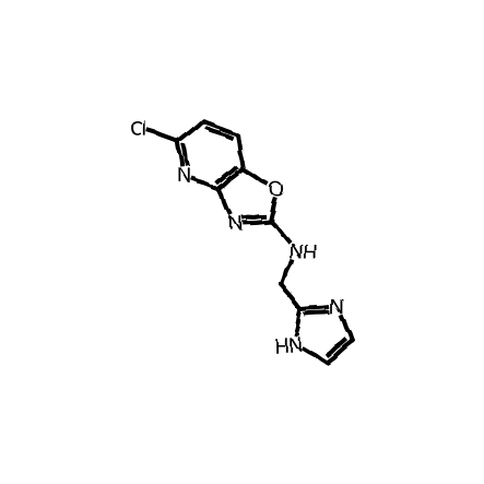 Clc1ccc2oc(NCc3ncc[nH]3)nc2n1